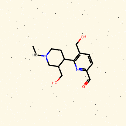 CBN1CCC(c2nc(C=O)ccc2CO)C(CO)C1